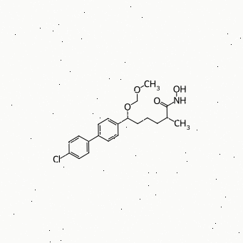 COCOC(CCCC(C)C(=O)NO)c1ccc(-c2ccc(Cl)cc2)cc1